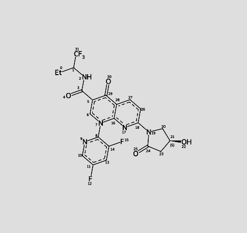 CCC(NC(=O)c1cn(-c2ncc(F)cc2F)c2nc(N3C[C@@H](O)CC3=O)ccc2c1=O)C(F)(F)F